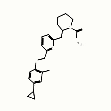 CC(C)(C)OC(=O)N1CCCCC1Cc1cccc(COc2ccc(C3CC3)cc2Cl)n1